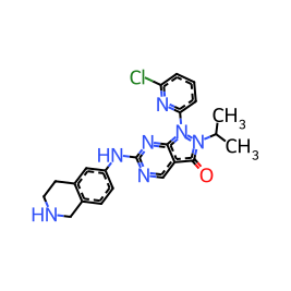 CC(C)n1c(=O)c2cnc(Nc3ccc4c(c3)CCNC4)nc2n1-c1cccc(Cl)n1